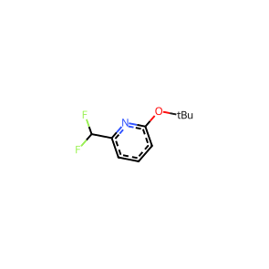 CC(C)(C)Oc1cccc(C(F)F)n1